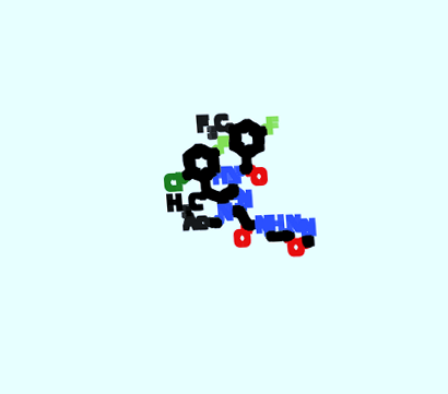 CC(=O)Cn1c(C(=O)NCc2nnco2)nc(NC(=O)c2cc(F)cc(C(F)(F)F)c2)c1[C@@H](C)c1cc(F)ccc1Cl